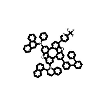 FC(F)(F)c1ccc(-c2ccc3c4cc(N(c5ccccc5)c5cc6ccccc6c6ccccc56)cc5oc6cc(N7c8ccccc8C=CC7c7cccc8ccccc78)cc(c7cc(-c8cccc(-c9ccccc9-c9ccccc9)c8)cc8oc2c3c87)c6c54)cn1